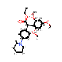 CCOC(=O)C(c1ccc(N2CCCCC2)cc1)c1c(OC)cc(OC)cc1OC